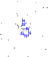 C=CC1(N)N=NN=N1